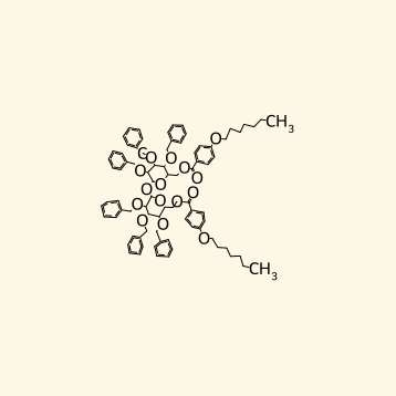 CCCCCCCOc1ccc(C(=O)OCC2O[C@H](O[C@H]3OC(COC(=O)c4ccc(OCCCCCCC)cc4)[C@@H](OCc4ccccc4)C(OCc4ccccc4)C3OCc3ccccc3)C(OCc3ccccc3)C(OCc3ccccc3)[C@@H]2OCc2ccccc2)cc1